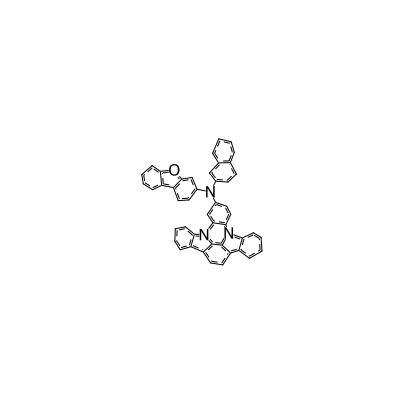 c1ccc2cc(N(c3ccc4c(c3)oc3ccccc34)c3ccc4c(c3)n3c5ccccc5c5ccc6c7ccccc7n4c6c53)ccc2c1